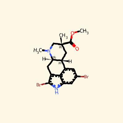 COC(=O)[C@]1(C)C[C@@H]2c3cc(Br)cc4[nH]c(Br)c(c34)C[C@H]2N(C)C1